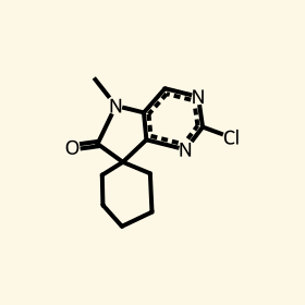 CN1C(=O)C2(CCCCC2)c2nc(Cl)ncc21